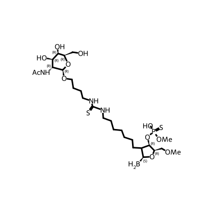 B[C@@H]1O[C@H](COC)[C@H](OP(O)(=S)OC)C1CCCCCCCNC(=S)NCCCCO[C@@H]1O[C@H](CO)[C@H](O)[C@H](O)[C@H]1NC(C)=O